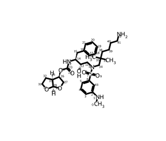 CNc1cccc(S(=O)(=O)N(C[C@H](O)[C@H](Cc2ccccc2)NC(=O)O[C@H]2CO[C@H]3OCC[C@H]32)CC(C)(C)CCCCN)c1